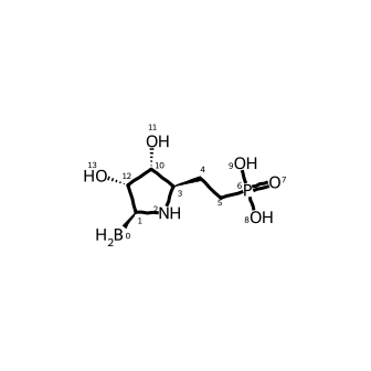 B[C@@H]1N[C@H](CCP(=O)(O)O)[C@@H](O)[C@H]1O